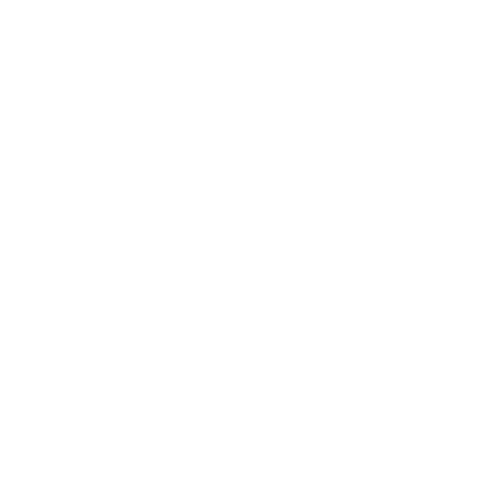 CC(C)CCSCCCCCCCCCCCCCCC1CCCCO1